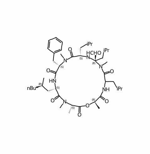 CCCC[C@@H](C)C[C@@H]1NC(=O)[C@H](Cc2ccccc2)N(C)C(=O)[C@H](CC(C)C)N[C@](C=O)(CC(C)C)N(C)C(=O)C(CC(C)C)NC(=O)[C@@H](C)OC(=O)[C@H](C)N(C)C1=O